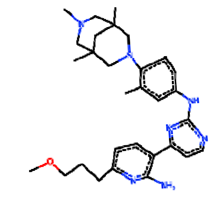 COCCCc1ccc(-c2ccnc(Nc3ccc(N4CC5(C)CN(C)CC(C)(C4)C5)c(C)c3)n2)c(N)n1